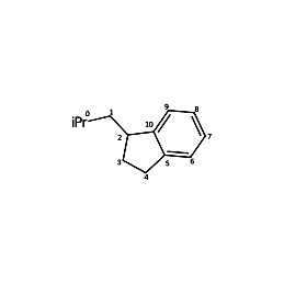 CC(C)CC1CCc2ccccc21